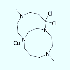 CN1CCCN2CCN(C)CCC(Cl)(Cl)N(CC1)CC2.[Cu]